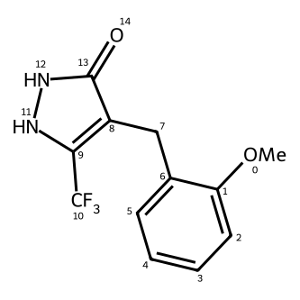 COc1ccccc1Cc1c(C(F)(F)F)[nH][nH]c1=O